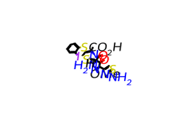 CON=C(C(=O)C1(N)C(=O)N2C(C(=O)O)=C(Sc3ccccc3I)CS[C@H]21)c1csc(N)n1